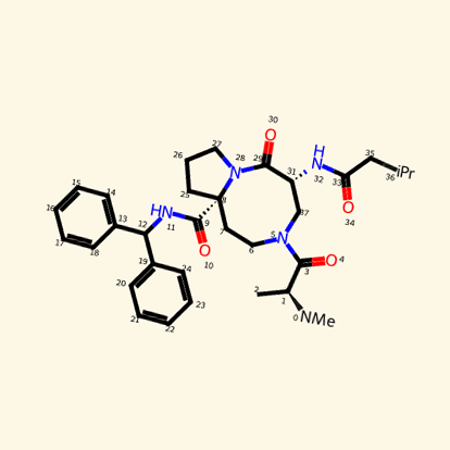 CN[C@@H](C)C(=O)N1CC[C@@]2(C(=O)NC(c3ccccc3)c3ccccc3)CCCN2C(=O)[C@H](NC(=O)CC(C)C)C1